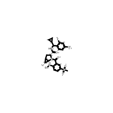 CCNc1ccc(S(C)(=O)=O)cc1C(=O)N1C2C(C[C@@H]1C(=O)NC(c1ccc(C(F)(F)F)cc1F)C1CC1)[C@H]2C